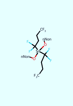 CCCCCCCCC[O][Sn]([O]CCCCCCCCC)([C](F)(F)CCC(F)(F)F)[C](F)(F)CCC(F)(F)F